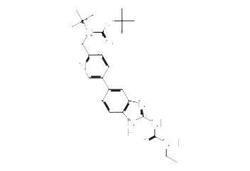 CCNC(=O)Nc1nc2cc(-c3ccc(CN(C(=O)OC(C)(C)C)C(C)(C)C)nc3)ccc2[nH]1